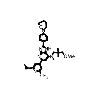 COCC(C)(C)CN(C)c1cc(-c2cc(C3CC3)nc(C(F)(F)F)c2)nc2nc(-c3ccc(N4CCCCC4)cc3)[nH]c12